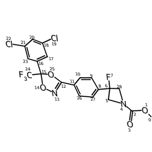 CC(C)(C)OC(=O)N1CC(F)(c2ccc(C3=NOC(c4cc(Cl)cc(Cl)c4)(C(F)(F)F)O3)cc2)C1